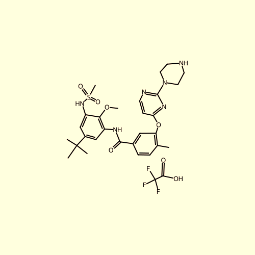 COc1c(NC(=O)c2ccc(C)c(Oc3ccnc(N4CCNCC4)n3)c2)cc(C(C)(C)C)cc1NS(C)(=O)=O.O=C(O)C(F)(F)F